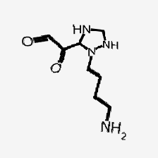 NCCCCN1NCNC1C(=O)C=O